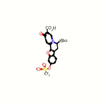 CC(C)(C)C1Cc2c(oc3cc(OS(=O)(=O)C(F)(F)F)ccc23)-c2cc(=O)c(C(=O)O)cn21